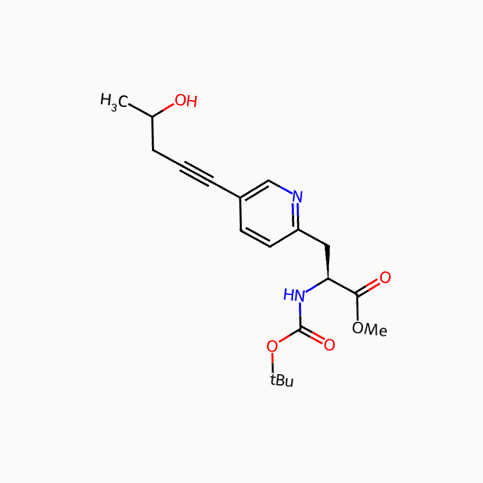 COC(=O)[C@H](Cc1ccc(C#CCC(C)O)cn1)NC(=O)OC(C)(C)C